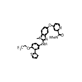 CNC(=O)c1cc(Oc2ccc3c(c2)nc(Nc2ccc(OCC(F)(F)F)c(-c4cccs4)c2)n3C)ccn1